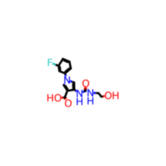 O=C(NCCO)Nc1cn(-c2cccc(F)c2)cc1C(=O)O